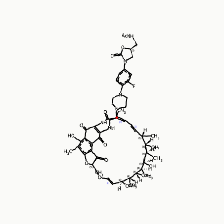 CO[C@H]1/C=C/O[C@@]2(C)Oc3c(C)c(O)c4c(c3C2=O)C(=O)C(NCCN2CCN(c3ccc(N5C[C@H](CNC(C)=O)OC5=O)cc3F)CC2)=C(NC(=O)/C(C)=C\C=C\[C@H](C)[C@H](O)[C@@H](C)[C@@H](O)[C@@H](C)[C@H](OC(C)=O)[C@@H]1C)C4=O